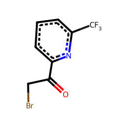 O=C(CBr)c1cccc(C(F)(F)F)n1